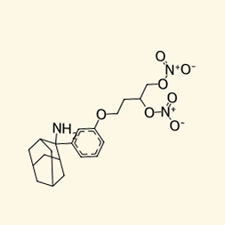 NC1(c2cccc(OCCC(CO[N+](=O)[O-])O[N+](=O)[O-])c2)C2CC3CC(C2)CC1C3